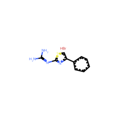 Br.NC(N)=Nc1nc(-c2ccccc2)cs1